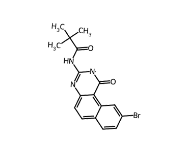 CC(C)(C)C(=O)NC1=Nc2ccc3ccc(Br)cc3c2C(=O)[N]1